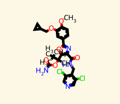 COc1ccc(-c2nc(C(=O)NCc3c(Cl)cncc3Cl)c(C(C)(OC(N)=O)C(C)(C)C)o2)cc1OCC1CC1